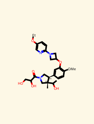 CCOc1ccc(N2CC(Oc3cc([C@@H]4CN(C(=O)C(O)CO)C[C@@]4(C)C(C)O)ccc3OC)C2)nc1